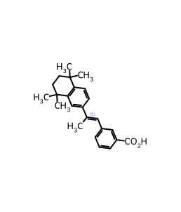 C/C(=C\c1cccc(C(=O)O)c1)c1ccc2c(c1)C(C)(C)CCC2(C)C